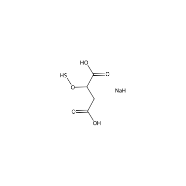 O=C(O)CC(OS)C(=O)O.[NaH]